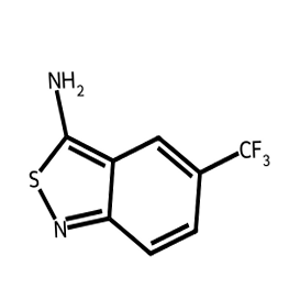 Nc1snc2ccc(C(F)(F)F)cc12